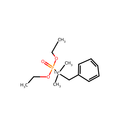 CCOP(=O)(OCC)[13C](C)(C)Cc1ccccc1